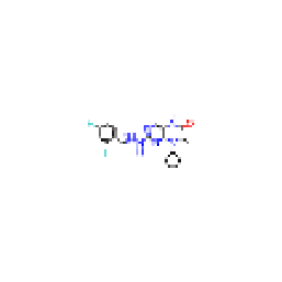 CCC1C(=O)N(C)c2cnc(N/N=C/c3ccc(F)cc3F)nc2N1C1CCCC1